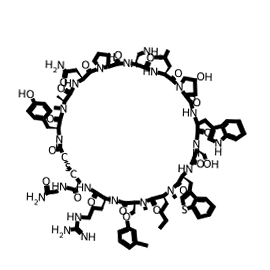 CCCC[C@H]1C(=O)N(C)[C@@H](COc2cccc(C)c2)C(=O)N[C@@H](CCCNC(=N)N)C(=O)N[C@H](C(=O)NCC(N)=O)CSCC(=O)N[C@@H](Cc2ccc(O)cc2)C(=O)N(C)[C@@H](C)C(=O)N[C@@H](CC(N)=O)C(=O)N2CCC[C@H]2C(=O)N[C@@H](CN)C(=O)N[C@@H](CC(C)C)C(=O)N2C[C@H](O)C[C@H]2C(=O)NC(Cc2c[nH]c3ccccc23)C(=O)N[C@@H](CO)C(=O)N[C@@H](Cc2csc3ccccc23)C(=O)N1C